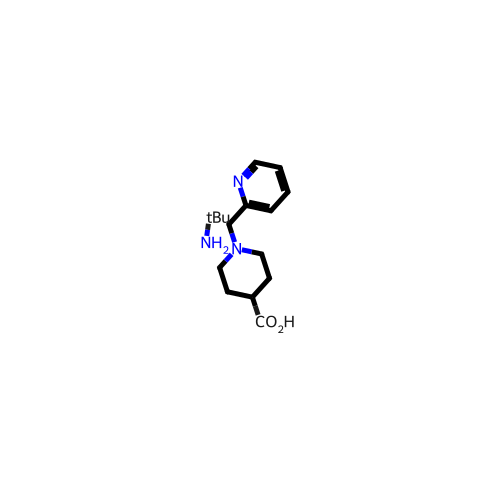 CC(C)(C)N.O=C(O)C1CCN(Cc2ccccn2)CC1